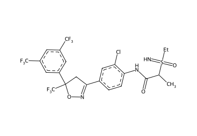 CCS(=N)(=O)C(C)C(=O)Nc1ccc(C2=NOC(c3cc(C(F)(F)F)cc(C(F)(F)F)c3)(C(F)(F)F)C2)cc1Cl